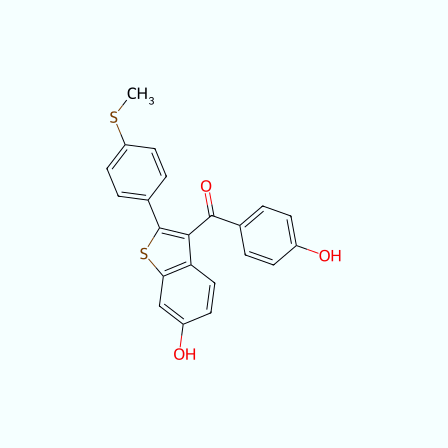 CSc1ccc(-c2sc3cc(O)ccc3c2C(=O)c2ccc(O)cc2)cc1